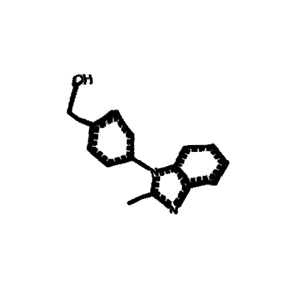 Cc1nc2ccccc2n1-c1ccc(CO)cc1